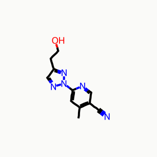 Cc1cc(-n2ncc(CCO)n2)ncc1C#N